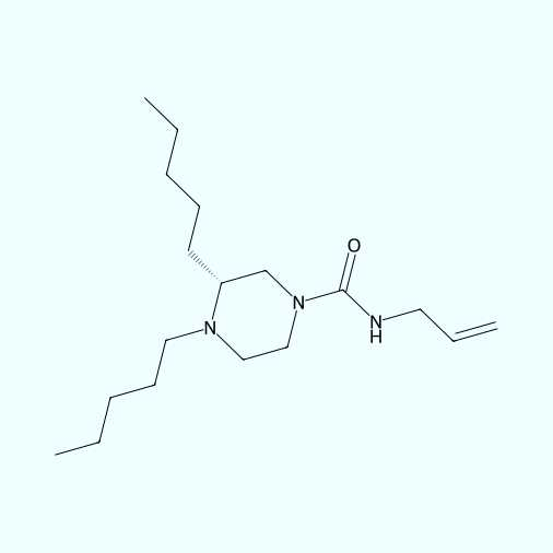 C=CCNC(=O)N1CCN(CCCCC)[C@H](CCCCC)C1